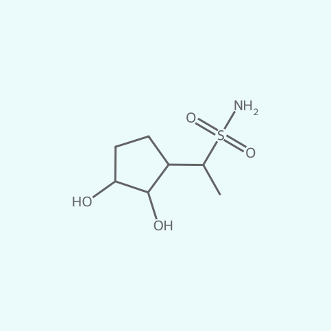 CC(C1CCC(O)C1O)S(N)(=O)=O